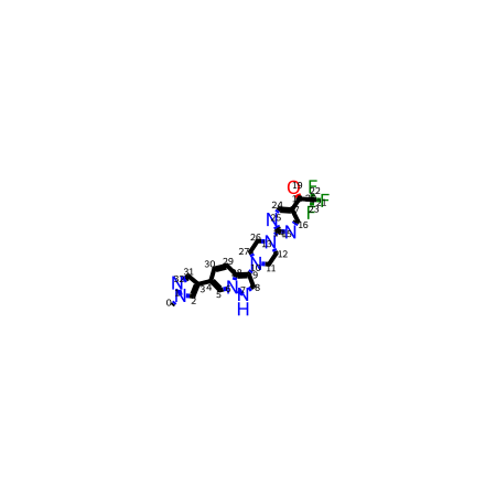 Cn1cc(C2=CN3NCC(N4CCN(c5ncc(C(=O)C(F)(F)F)cn5)CC4)=C3C=C2)cn1